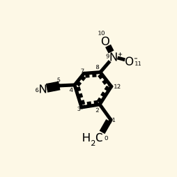 C=[C]c1cc(C#N)cc([N+](=O)[O-])c1